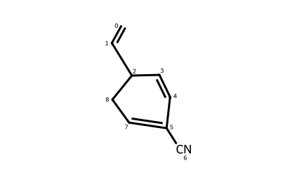 C=CC1C=CC(C#N)=CC1